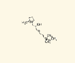 CO[Si](C)(C)CCCOCC(O)CN1CCC[C@@H]1C